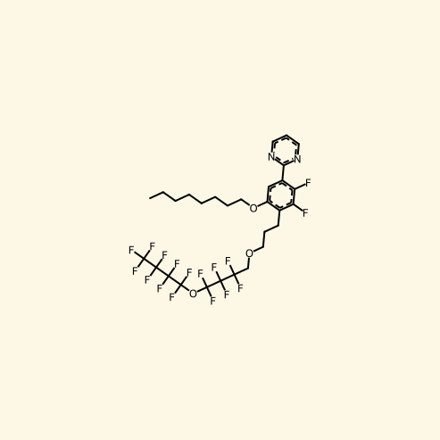 CCCCCCCCOc1cc(-c2ncccn2)c(F)c(F)c1CCCOCC(F)(F)C(F)(F)C(F)(F)OC(F)(F)C(F)(F)C(F)(F)C(F)(F)F